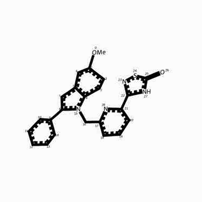 COc1ccc2c(c1)cc(-c1ccccc1)n2Cc1cccc(-c2nsc(=O)[nH]2)n1